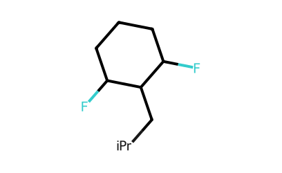 CC(C)CC1C(F)CCCC1F